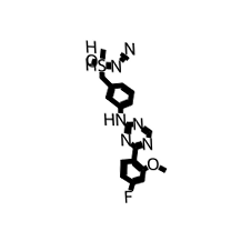 COc1cc(F)ccc1-c1ncnc(Nc2cccc(C[SH](C)(O)=NC#N)c2)n1